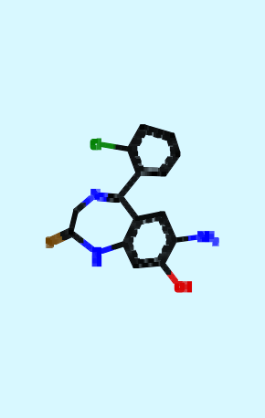 Nc1cc2c(cc1O)NC(=S)CN=C2c1ccccc1Cl